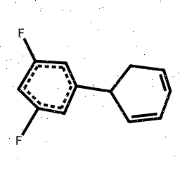 Fc1cc(F)cc(C2C=CC=CC2)c1